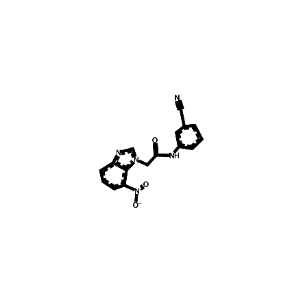 N#Cc1cccc(NC(=O)Cn2cnc3cccc([N+](=O)[O-])c32)c1